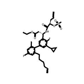 C=CCCCCc1cc(F)cc(C)c1-c1cc(C2CC2)c(F)c([C@H](CC(=O)OCC)NC(=O)[C@@H](CC=C)OS(C)(=O)=O)c1